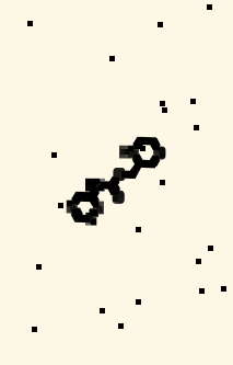 O=C(Nc1cncnn1)OC[C@@H]1COCCN1